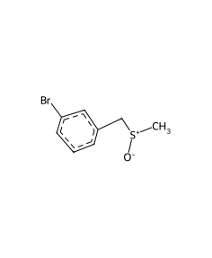 C[S+]([O-])Cc1cccc(Br)c1